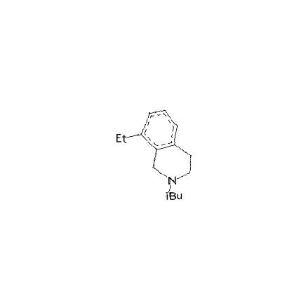 CCc1cccc2c1CN(C(C)CC)CC2